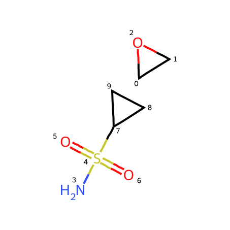 C1CO1.NS(=O)(=O)C1CC1